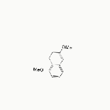 COC1=Cc2cccc(OC)c2CC1